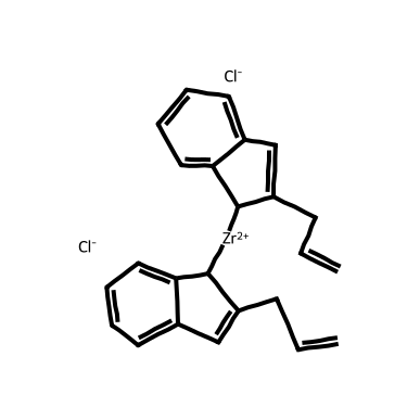 C=CCC1=Cc2ccccc2[CH]1[Zr+2][CH]1C(CC=C)=Cc2ccccc21.[Cl-].[Cl-]